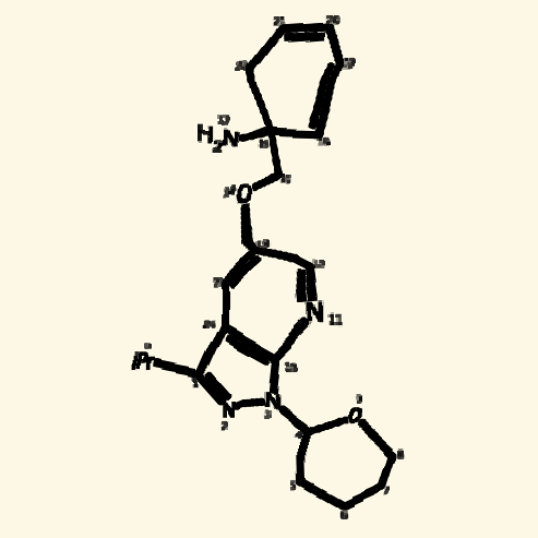 CC(C)c1nn(C2CCCCO2)c2ncc(OCC3(N)C=CC=CC3)cc12